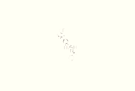 O=C(C1CCOCC1)N1C[C@@H]2C[C@H]1CN2c1ccc(-c2noc(C(F)(F)F)n2)cn1